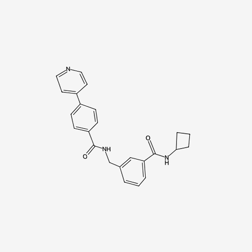 O=C(NCc1cccc(C(=O)NC2CCC2)c1)c1ccc(-c2ccncc2)cc1